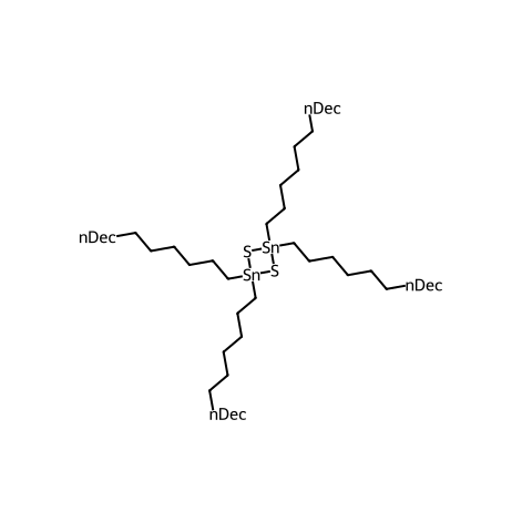 CCCCCCCCCCCCCCC[CH2][Sn]1([CH2]CCCCCCCCCCCCCCC)[S][Sn]([CH2]CCCCCCCCCCCCCCC)([CH2]CCCCCCCCCCCCCCC)[S]1